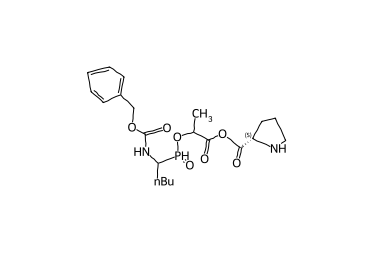 CCCCC(NC(=O)OCc1ccccc1)[PH](=O)OC(C)C(=O)OC(=O)[C@@H]1CCCN1